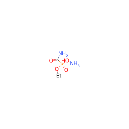 CCOP(=O)(O)C(N)=O.N